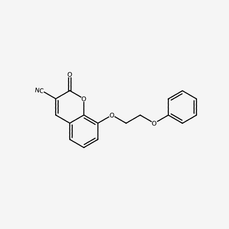 N#Cc1cc2cccc(OCCOc3ccccc3)c2oc1=O